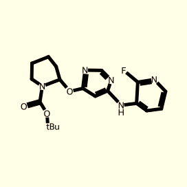 CC(C)(C)OC(=O)N1CCCCC1Oc1cc(Nc2cccnc2F)ncn1